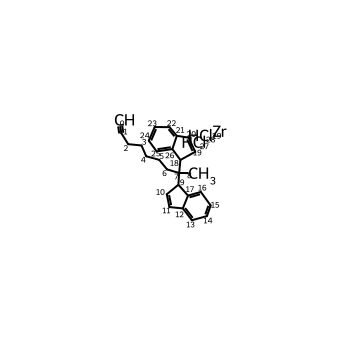 C#CCCCCCC(C)(C1C=Cc2ccccc21)C1C=Cc2ccccc21.Cl.Cl.[Zr]